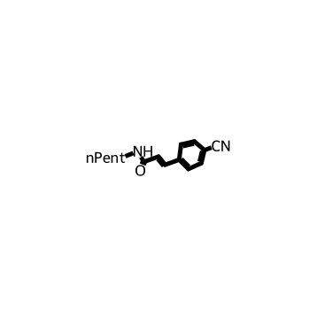 CCCCCNC(=O)/C=C/c1ccc(C#N)cc1